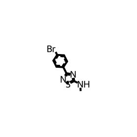 CNc1nc(-c2ccc(Br)cc2)ns1